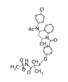 CC(=O)N(c1ccc(Cl)cc1)C1CC(C)N(C(=O)c2ccc(OCCC(C)(C)C(=O)NS(C)(=O)=O)cc2)c2ccccc21